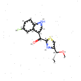 CC[C@@H](OC)c1csc(C(=O)c2c[nH]c3ccc(F)cc23)n1